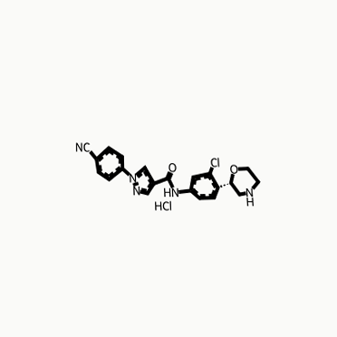 Cl.N#Cc1ccc(-n2cc(C(=O)Nc3ccc([C@H]4CNCCO4)c(Cl)c3)cn2)cc1